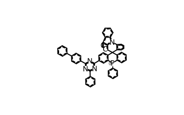 c1ccc(-c2ccc(-c3nc(-c4ccccc4)nc(-c4ccc5c(c4)[P@](c4ccccc4)c4ccccc4C54c5ccccc5-n5c6ccccc6c6cccc4c65)n3)cc2)cc1